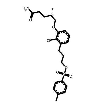 Cc1ccc(S(=O)(=O)OCCCc2cccc(OC[C@@H](C)CCC(N)=O)c2Cl)cc1